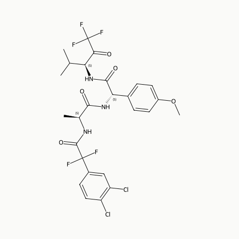 COc1ccc([C@H](NC(=O)[C@H](C)NC(=O)C(F)(F)c2ccc(Cl)c(Cl)c2)C(=O)N[C@H](C(=O)C(F)(F)F)C(C)C)cc1